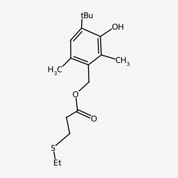 CCSCCC(=O)OCc1c(C)cc(C(C)(C)C)c(O)c1C